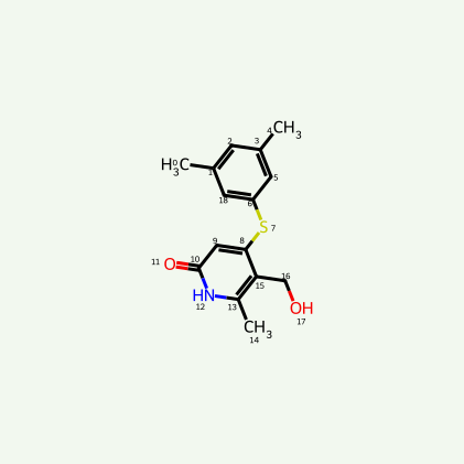 Cc1cc(C)cc(Sc2cc(=O)[nH]c(C)c2CO)c1